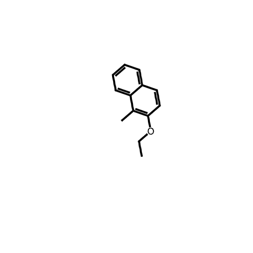 CCOc1ccc2ccccc2c1C